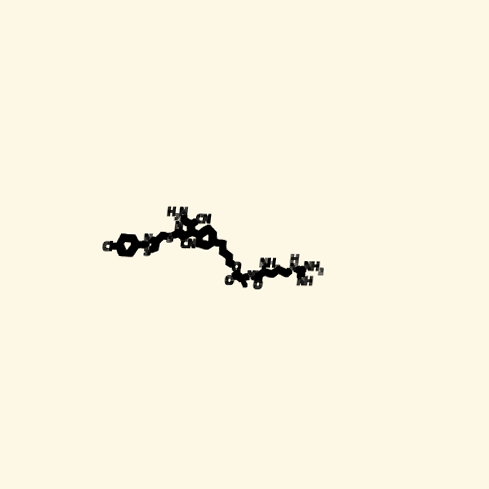 C[C@H](NC(=O)[C@@H](N)CCCNC(=N)N)C(=O)OCCCCc1ccc(-c2c(C#N)c(N)nc(SCc3csc(-c4ccc(Cl)cc4)n3)c2C#N)cc1